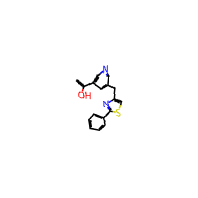 C=C(O)c1cncc(Cc2csc(-c3ccccc3)n2)c1